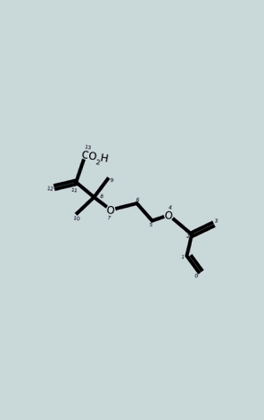 C=CC(=C)OCCOC(C)(C)C(=C)C(=O)O